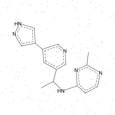 Cc1nccc(NC(C)c2cncc(-c3cn[nH]c3)c2)n1